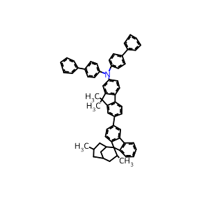 CC1CC2CC(C)C3(c4ccccc4-c4cc(-c5ccc6c(c5)C(C)(C)c5cc(N(c7ccc(-c8ccccc8)cc7)c7ccc(-c8ccccc8)cc7)ccc5-6)ccc43)C(C1)C2